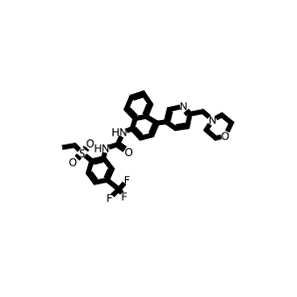 CCS(=O)(=O)c1ccc(C(F)(F)F)cc1NC(=O)Nc1ccc(-c2ccc(CN3CCOCC3)nc2)c2ccccc12